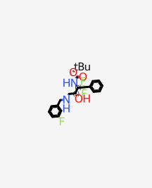 CC(C)(C)OC(=O)N[C@H]([C@@H](O)CNCc1cccc(F)c1)C(F)(F)c1ccccc1